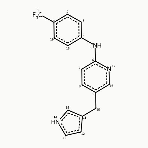 FC(F)(F)c1ccc(Nc2ccc(Cc3cc[nH]c3)cn2)cc1